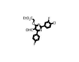 CCOC(=O)COc1nc(-c2ccc(Cl)c(F)c2)nc(-c2ccc(F)cc2)c1C=O